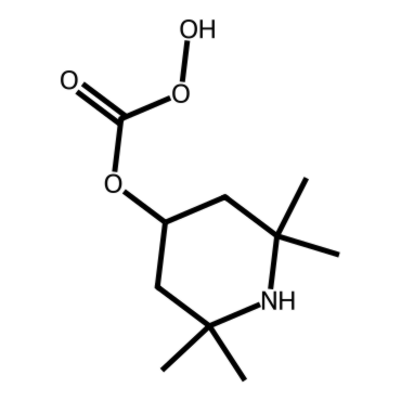 CC1(C)CC(OC(=O)OO)CC(C)(C)N1